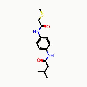 CSCC(=O)Nc1ccc(NC(=O)CC(C)C)cc1